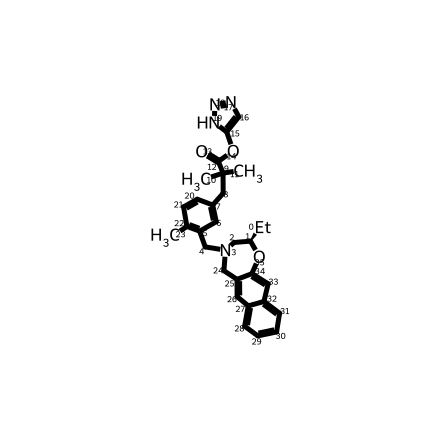 CC[C@@H]1CN(Cc2cc(CC(C)(C)C(=O)Oc3cnn[nH]3)ccc2C)Cc2cc3ccccc3cc2O1